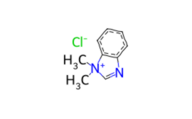 C[N+]1(C)C=Nc2ccccc21.[Cl-]